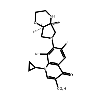 N#Cc1c(N2C[C@H]3NCCO[C@@H]3C2)c(F)cc2c(=O)c(C(=O)O)cn(C3CC3)c12